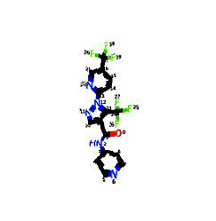 O=C(Nc1ccncc1)c1cnn(-c2ccc(C(F)(F)F)cn2)c1C(F)(F)F